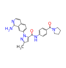 Cc1cc(C(=O)Nc2ccc(C(=O)N3CCCC3)cc2)n(-c2ccc3ccnc(N)c3c2)n1